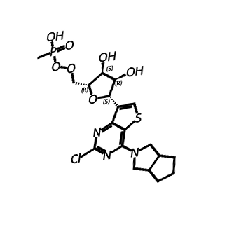 CP(=O)(O)OOC[C@H]1O[C@@H](c2csc3c(N4CC5CCCC5C4)nc(Cl)nc23)[C@H](O)[C@@H]1O